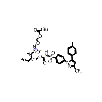 Cc1ccc(-c2cc(C(F)(F)F)nn2-c2ccc(S(=O)(=O)NC(=O)OC[C@H](CC(C)C)N(C)/[N+]([O-])=N/OCOC(=O)C(C)(C)C)cc2)cc1